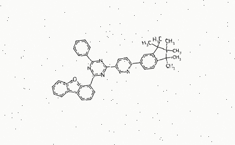 CC1(C)c2ccc(-c3ccc(-c4nc(-c5ccccc5)nc(-c5cccc6c5oc5ccccc56)n4)cn3)cc2C(C)(C)C1(C)C